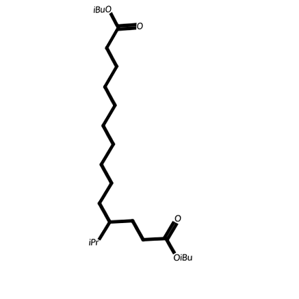 CC(C)COC(=O)CCCCCCCCCC(CCC(=O)OCC(C)C)C(C)C